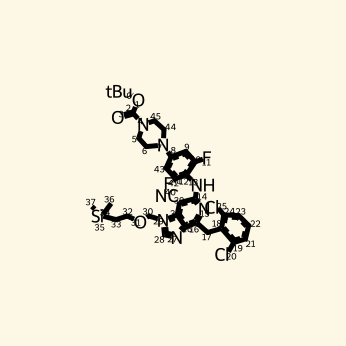 CC(C)(C)OC(=O)N1CCN(c2cc(F)c(Nc3nc(Cc4c(Cl)cccc4Cl)c4ncn(COCC[Si](C)(C)C)c4c3C#N)c(F)c2)CC1